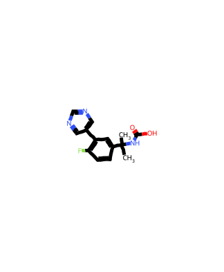 CC(C)(NC(=O)O)c1ccc(F)c(-c2cncnc2)c1